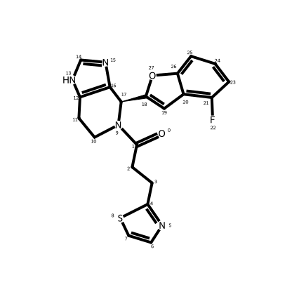 O=C(CCc1nccs1)N1CCc2[nH]cnc2[C@H]1c1cc2c(F)cccc2o1